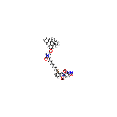 CC/C(=C(\c1ccccc1)c1ccc(OCCN(C)C(=O)CCCCCCCCSc2cccc3c2CN(C2CCC(=O)NC2=O)C3=O)cc1)c1ccccc1